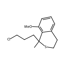 COc1cccc2c1C(C)(CCCCl)SCC2